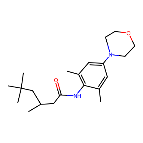 Cc1cc(N2CCOCC2)cc(C)c1NC(=O)CC(C)CC(C)(C)C